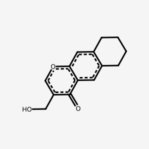 O=c1c(CO)coc2cc3c(cc12)CCCC3